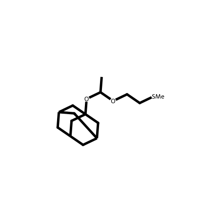 CSCCOC(C)OC12CC3CC(CC(C3)C1)C2